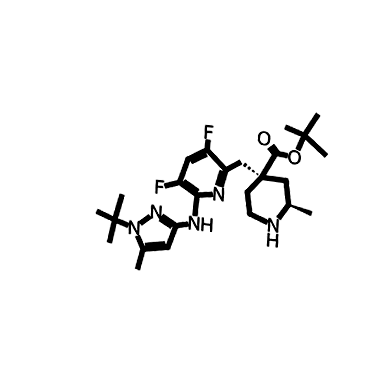 Cc1cc(Nc2nc(C[C@@]3(C(=O)OC(C)(C)C)CCN[C@H](C)C3)c(F)cc2F)nn1C(C)(C)C